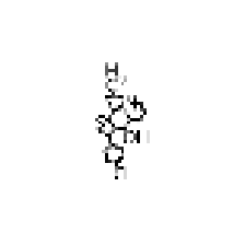 CC1CC=C(C2=C(C(O)c3cccnc3)C(c3ccc(Cl)cc3)CS2)S1